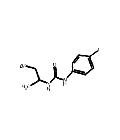 CC(CBr)NC(=O)Nc1ccc(I)cc1